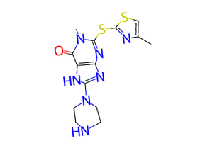 Cc1csc(Sc2nc3nc(N4CCNCC4)[nH]c3c(=O)n2C)n1